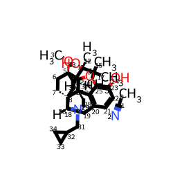 CC#N.CO[C@]12CC[C@@]3(C[C@@H]1[C@](C)(O)C(C)(C)C)[C@H]1Cc4ccc(O)c5c4[C@@]3(CCN1CC1CC1)[C@H]2O5